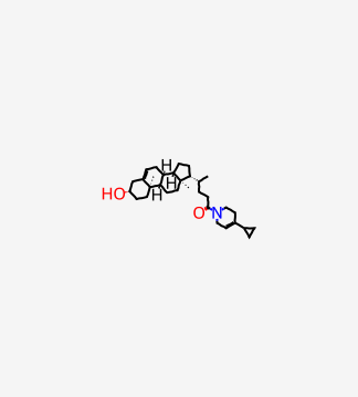 CC(CCC(=O)N1CC=C(C2CC2)CC1)[C@H]1CC[C@H]2[C@@H]3CC=C4C[C@@H](O)CC[C@]4(C)[C@H]3CC[C@]12C